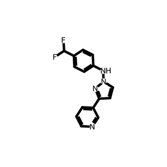 FC(F)c1ccc(Nn2ccc(-c3cccnc3)n2)cc1